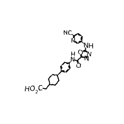 N#Cc1ccc(Nc2nnc(C(=O)Nc3ccc(C4CCC(CC(=O)O)CC4)cc3)o2)cn1